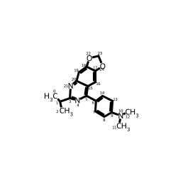 CC(C)c1nc(-c2ccc(N(C)C)cc2)c2cc3c(cc2n1)OCO3